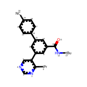 CC(C)c1ncncc1-c1cc(C(=O)NC(C)(C)C)cc(-c2ccc(C#N)cc2)c1